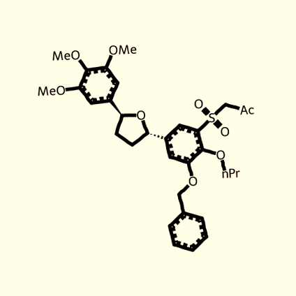 CCCOc1c(OCc2ccccc2)cc([C@@H]2CC[C@@H](c3cc(OC)c(OC)c(OC)c3)O2)cc1S(=O)(=O)CC(C)=O